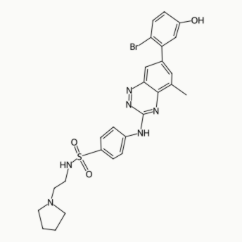 Cc1cc(-c2cc(O)ccc2Br)cc2nnc(Nc3ccc(S(=O)(=O)NCCN4CCCC4)cc3)nc12